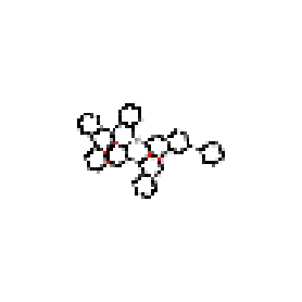 c1ccc(-c2ccc3cc(N(c4ccccc4-c4cccc5ccccc45)c4ccccc4-c4cc5ccccc5c5ccccc45)ccc3c2)cc1